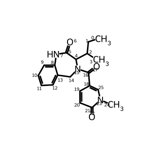 CCC(C)C1C(=O)Nc2ccccc2CN1C(=O)c1ccc(=O)n(C)c1